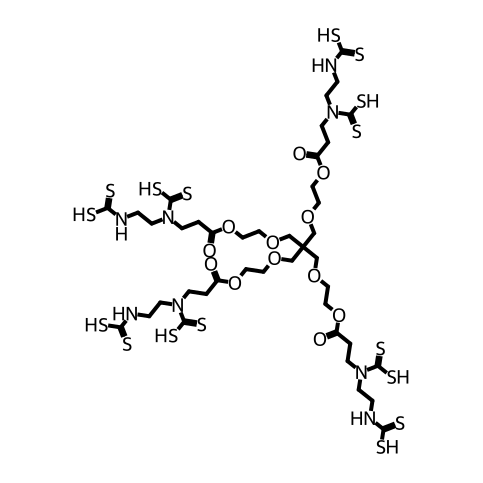 O=C(CCN(CCNC(=S)S)C(=S)S)OCCOCC(COCCOC(=O)CCN(CCNC(=S)S)C(=S)S)(COCCOC(=O)CCN(CCNC(=S)S)C(=S)S)COCCOC(=O)CCN(CCNC(=S)S)C(=S)S